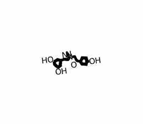 O=C(Cn1cc(-c2cc(O)cc(O)c2)nn1)c1ccc(O)cc1